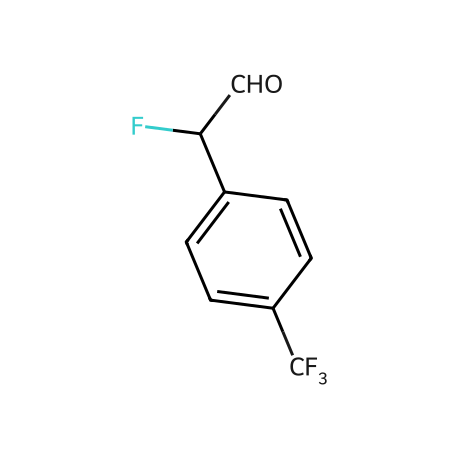 O=CC(F)c1ccc(C(F)(F)F)cc1